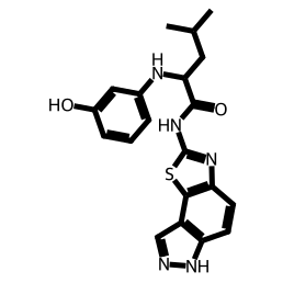 CC(C)CC(Nc1cccc(O)c1)C(=O)Nc1nc2ccc3[nH]ncc3c2s1